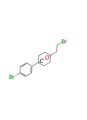 BrCCC12CCC(c3ccc(Br)cc3)(CC1)CO2